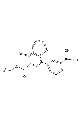 CCOC(=O)c1cn(-c2cccc(B(O)O)c2)c2ncccc2c1=O